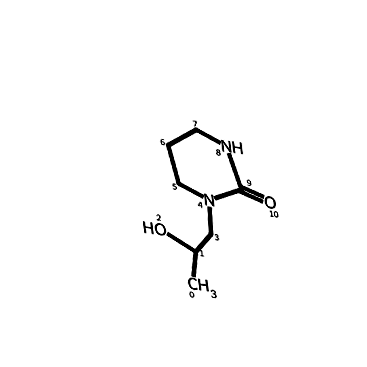 CC(O)CN1CCCNC1=O